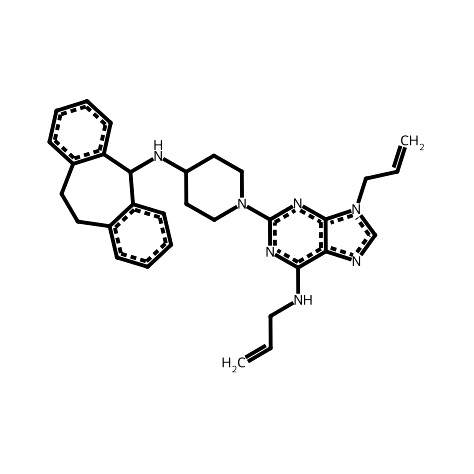 C=CCNc1nc(N2CCC(NC3c4ccccc4CCc4ccccc43)CC2)nc2c1ncn2CC=C